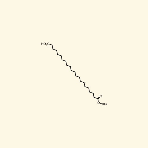 CC(C)(C)OC(=O)CCCCCCCCCCCCCCCCCCCCC(=O)O